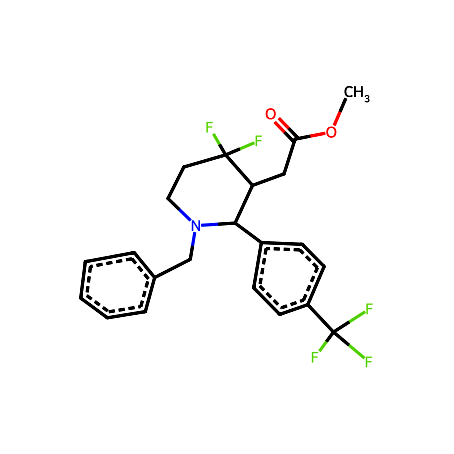 COC(=O)CC1C(c2ccc(C(F)(F)F)cc2)N(Cc2ccccc2)CCC1(F)F